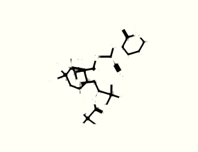 CC(C)(C)[C@@H](NC(=O)C(F)(F)F)C(=O)N1[C@@H]2CC[C@H]([C@H]1C(=O)N[C@H](C#N)C[C@H]1CCCNC1=O)C(F)(F)C2